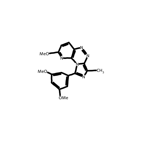 COc1cc(OC)cc(-c2nc(C)c3nnc4ccc(OC)nc4n23)c1